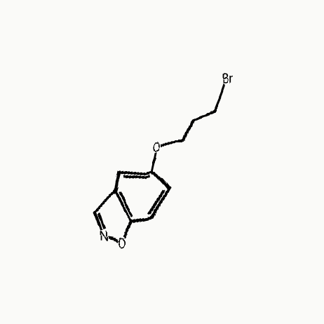 BrCCCOc1ccc2oncc2c1